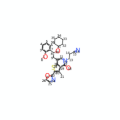 COc1ccccc1[C@H](Cc1cn(CCC#N)c(=O)c2c(C)c(-c3ncco3)sc12)OC1CCCCC1